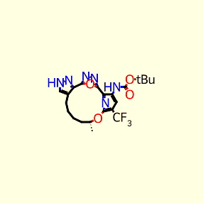 C[C@@H]1CCCCc2c[nH]nc2-c2nnc(o2)-c2nc(c(C(F)(F)F)cc2NC(=O)OC(C)(C)C)O1